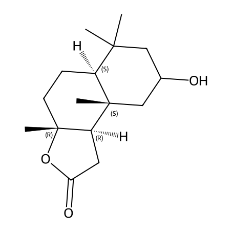 CC1(C)CC(O)C[C@]2(C)[C@H]3CC(=O)O[C@]3(C)CC[C@@H]12